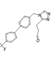 O=CCCc1nncn1Cc1ccc(-c2ccc(C(F)(F)F)cc2)cc1